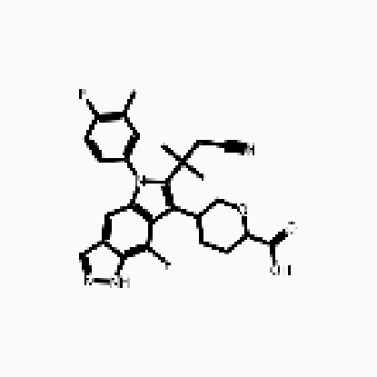 Cc1cc(-n2c(C(C)(C)CC#N)c(C3CCC(C(=O)O)OC3)c3c(F)c4[nH]ncc4cc32)ccc1F